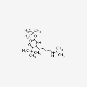 CC(C)NCCCCC(NC(=O)OC(C)(C)C)C(=O)C(C)(C)C